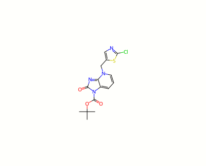 CC(C)(C)OC(=O)n1c2cccn(Cc3cnc(Cl)s3)c-2nc1=O